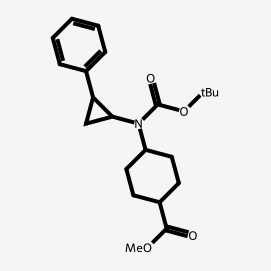 COC(=O)C1CCC(N(C(=O)OC(C)(C)C)C2CC2c2ccccc2)CC1